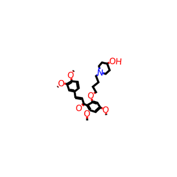 COc1cc(OC)c(C(=O)C=Cc2ccc(OC)c(OC)c2)c(OCCCCN2CCC(O)CC2)c1